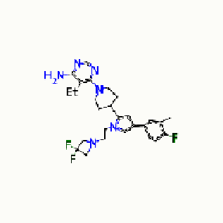 CCc1c(N)ncnc1N1CCC(c2cc(-c3ccc(F)c(C)c3)cn2CCN2CC(F)(F)C2)CC1